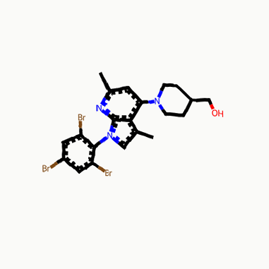 Cc1cc(N2CCC(CO)CC2)c2c(C)cn(-c3c(Br)cc(Br)cc3Br)c2n1